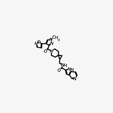 Cn1cc(-c2ccno2)c(C(=O)N2CCC3(CC2)CC3CNC(=O)c2cc3cnccc3[nH]2)n1